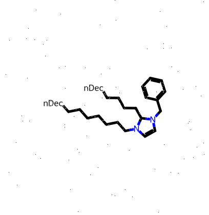 CCCCCCCCCCCCCCCCCN1C=CN(Cc2ccccc2)C1CCCCCCCCCCCCCC